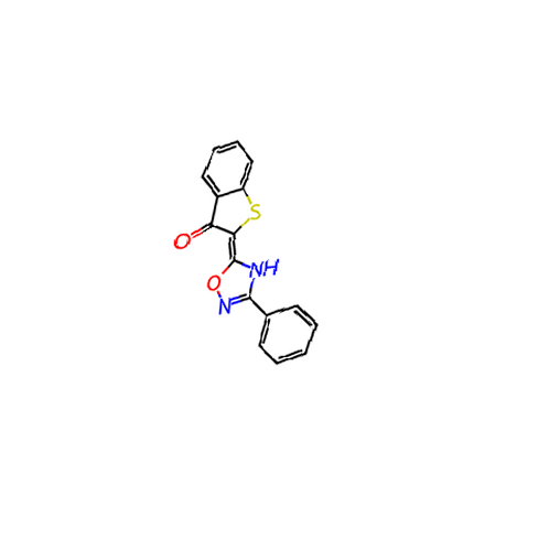 O=C1C(=C2NC(c3ccccc3)=NO2)Sc2ccccc21